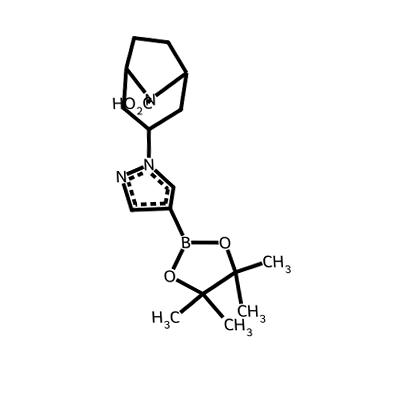 CC1(C)OB(c2cnn(C3CC4CCC(C3)N4C(=O)O)c2)OC1(C)C